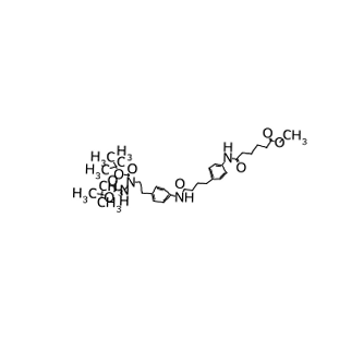 COC(=O)CCCCC(=O)Nc1ccc(CCCC(=O)Nc2ccc(CCN(NC(=O)OC(C)(C)C)C(=O)OC(C)(C)C)cc2)cc1